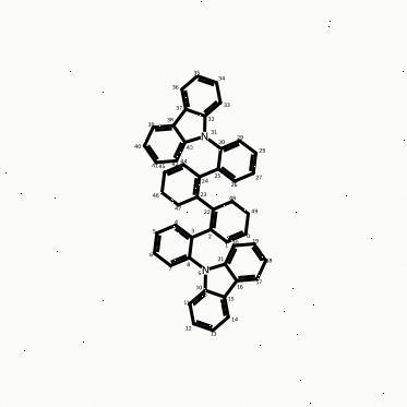 C1=CC(c2ccccc2-n2c3ccccc3c3ccccc32)=C(C2=C(c3ccccc3-n3c4ccccc4c4ccccc43)C=CCC2)CC1